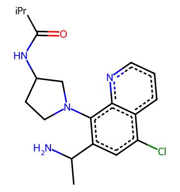 CC(C)C(=O)NC1CCN(c2c(C(C)N)cc(Cl)c3cccnc23)C1